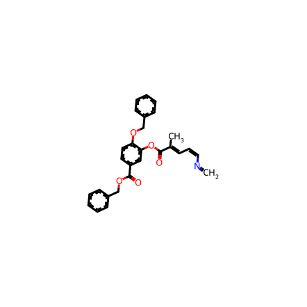 C=N/C=C\C=C(/C)C(=O)Oc1cc(C(=O)OCc2ccccc2)ccc1OCc1ccccc1